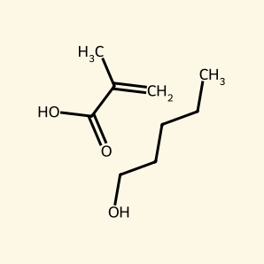 C=C(C)C(=O)O.CCCCCO